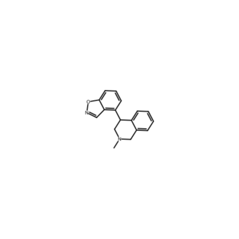 CN1Cc2ccccc2C(c2cccc3oncc23)C1